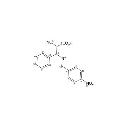 N#CC(C(=O)O)C(N=Nc1ccc([N+](=O)[O-])cc1)c1ccccc1